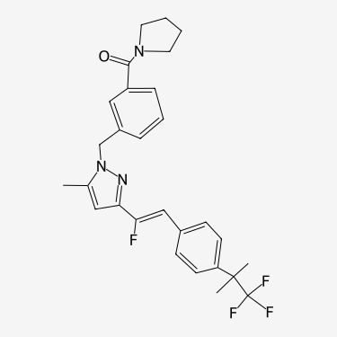 Cc1cc(/C(F)=C/c2ccc(C(C)(C)C(F)(F)F)cc2)nn1Cc1cccc(C(=O)N2CCCC2)c1